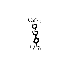 CC(C=O)c1ccc(-c2ccc(N3CCN(C(C)C)CC3)nc2)cc1